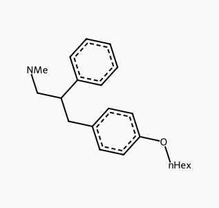 CCCCCCOc1ccc(CC(CNC)c2ccccc2)cc1